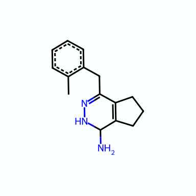 Cc1ccccc1CC1=NNC(N)C2=C1CCC2